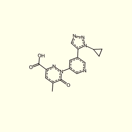 Cc1cc(C(=O)O)nn(-c2cncc(-c3cnnn3C3CC3)c2)c1=O